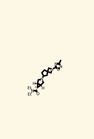 CCN(CC)C(=O)[C@@H]1[C@@H]2CN(C3CCC4(C3)CN(c3nc(C)no3)C4)C[C@@H]21